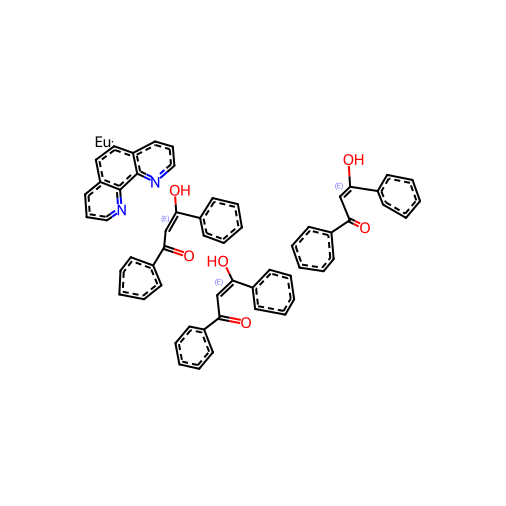 O=C(/C=C(/O)c1ccccc1)c1ccccc1.O=C(/C=C(/O)c1ccccc1)c1ccccc1.O=C(/C=C(/O)c1ccccc1)c1ccccc1.[Eu].c1cnc2c(c1)ccc1cccnc12